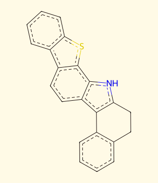 c1ccc2c(c1)CCc1[nH]c3c(ccc4c5ccccc5sc43)c1-2